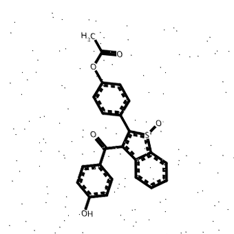 CC(=O)Oc1ccc(-c2c(C(=O)c3ccc(O)cc3)c3ccccc3[s+]2[O-])cc1